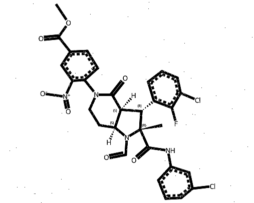 COC(=O)c1ccc(N2CC[C@H]3[C@@H](C2=O)[C@H](c2cccc(Cl)c2F)[C@](C)(C(=O)Nc2cccc(Cl)c2)N3C=O)c([N+](=O)[O-])c1